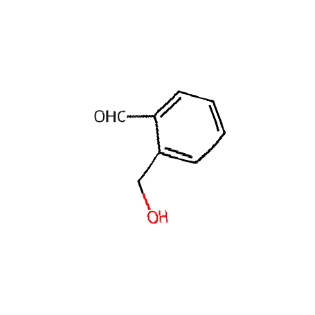 O=Cc1ccccc1CO